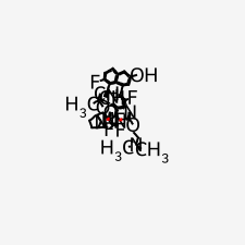 C#Cc1c(F)ccc2cc(O)cc(-c3nc(OC(C)C)c4c(N5CC6CCC(C5)N6C(=O)C(F)(F)F)nc(OCCN(C)C)nc4c3F)c12